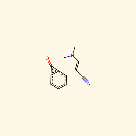 CN(C)C=CC#N.O=c1c2ccccc12